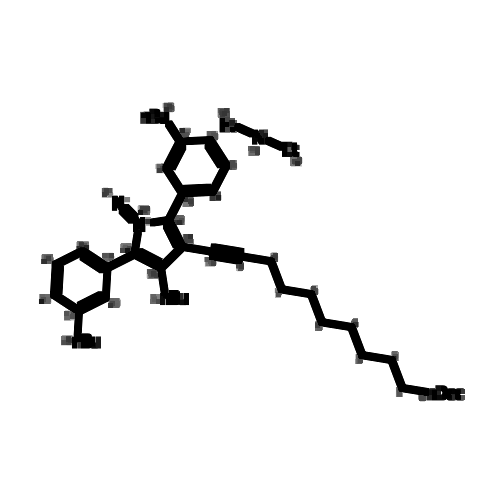 CCCCCCCCCCCCCCCCCCC#CC1=C(c2cccc(CCCC)c2)[N+](=[N-])C(c2cccc(CCCC)c2)=C1CCCC.C[CH2][Ni][CH2]C